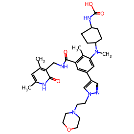 Cc1cc(C)c(CNC(=O)c2cc(-c3cnn(CCN4CCOCC4)c3)cc(N(C)C3CCC(NC(=O)O)CC3)c2C)c(=O)[nH]1